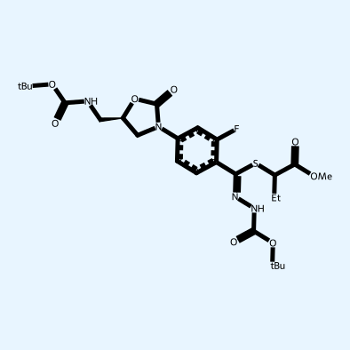 CCC(SC(=NNC(=O)OC(C)(C)C)c1ccc(N2C[C@@H](CNC(=O)OC(C)(C)C)OC2=O)cc1F)C(=O)OC